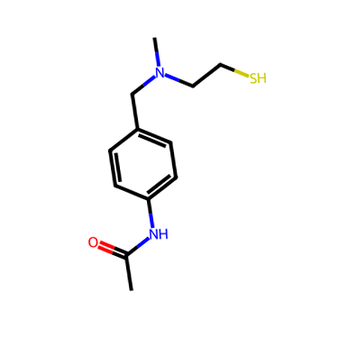 CC(=O)Nc1ccc(CN(C)CCS)cc1